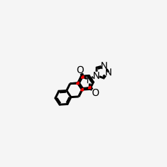 O=C1C2=C(C(=O)N1n1cnnc1)C1c3ccccc3C2c2ccccc21